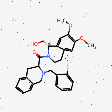 COc1cc2c(cc1OC)[C@@H](CO)N(C(=O)C1Cc3ccccc3CN1Cc1ccccc1F)CC2